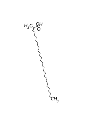 CCCCCCCCCCCCCCCCCCCCCCCCCCCC=C(C)C(=O)O